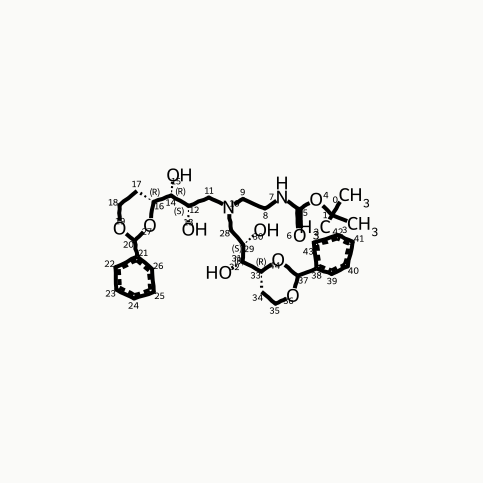 CC(C)(C)OC(=O)NCCN(C[C@H](O)[C@@H](O)[C@H]1CCOC(c2ccccc2)O1)C[C@H](O)[C@@H](O)[C@H]1CCOC(c2ccccc2)O1